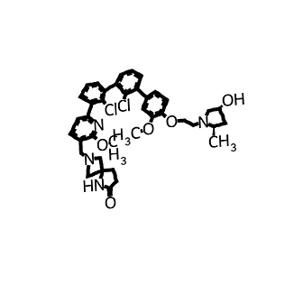 COc1cc(-c2cccc(-c3cccc(-c4ccc(CN5CC6(CCC(=O)N6)C5)c(OC)n4)c3Cl)c2Cl)ccc1OCCN1C[C@@H](O)C[C@H]1C